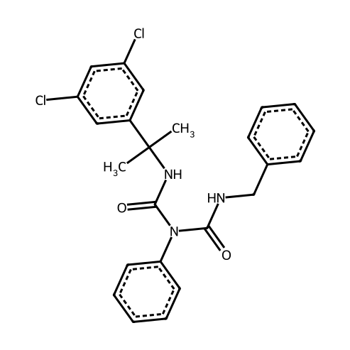 CC(C)(NC(=O)N(C(=O)NCc1ccccc1)c1ccccc1)c1cc(Cl)cc(Cl)c1